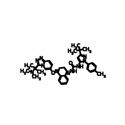 Cc1ccc(-n2nc(C(C)(C)C)cc2NC(=O)N[C@H]2CC[C@@H](Oc3ccc4nnc(C(C)(C)N(C)C)n4c3)c3ccccc32)cc1